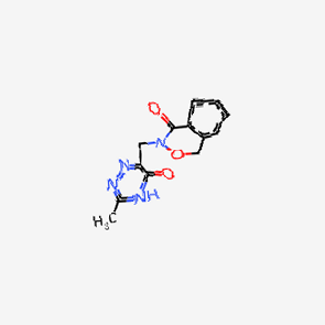 Cc1nnc(CN2OCc3ccccc3C2=O)c(=O)[nH]1